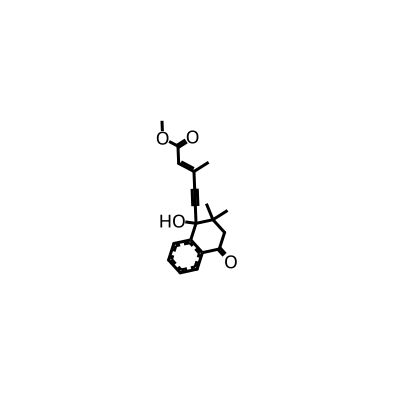 COC(=O)/C=C(\C)C#CC1(O)c2ccccc2C(=O)CC1(C)C